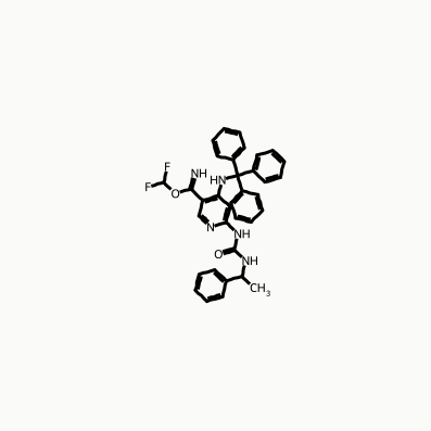 CC(NC(=O)Nc1cc(NC(c2ccccc2)(c2ccccc2)c2ccccc2)c(C(=N)OC(F)F)cn1)c1ccccc1